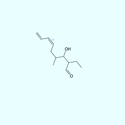 C=C/C=C\CC(C)C(O)C(C=O)CC